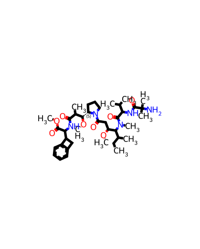 CCC(C)C(C(CC(=O)N1CCC[C@H]1C(OC)C(C)C(=O)NC(C(=O)OC)C1Cc2ccccc21)OC)N(C)C(=O)C(NC(=O)C(C)(C)N)C(C)C